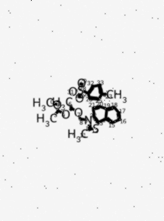 COC(C)OC(C)OC[n+]1c(C)sc2c3ccccc3ccc21.Cc1ccc(S(=O)(=O)[O-])cc1